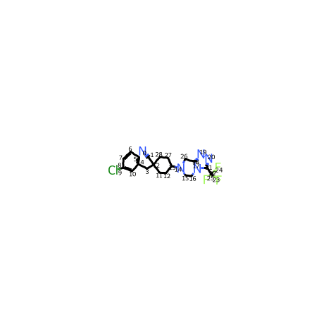 N#CC1(Cc2cccc(Cl)c2)CCC(N2CCn3c(nnc3C(F)(F)F)C2)CC1